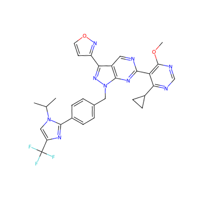 COc1ncnc(C2CC2)c1-c1ncc2c(-c3ccon3)nn(Cc3ccc(-c4nc(C(F)(F)F)cn4C(C)C)cc3)c2n1